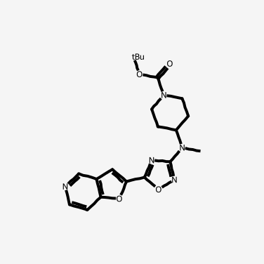 CN(c1noc(-c2cc3cnccc3o2)n1)C1CCN(C(=O)OC(C)(C)C)CC1